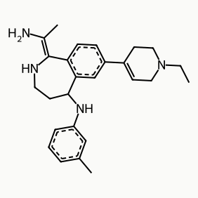 CCN1CC=C(c2ccc3c(c2)C(Nc2cccc(C)c2)CCN/C3=C(/C)N)CC1